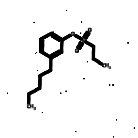 CCCCCc1cccc(OS(=O)(=O)CCC)c1